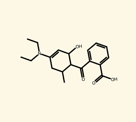 CCN(CC)C1=CC(O)C(C(=O)c2ccccc2C(=O)O)C(C)C1